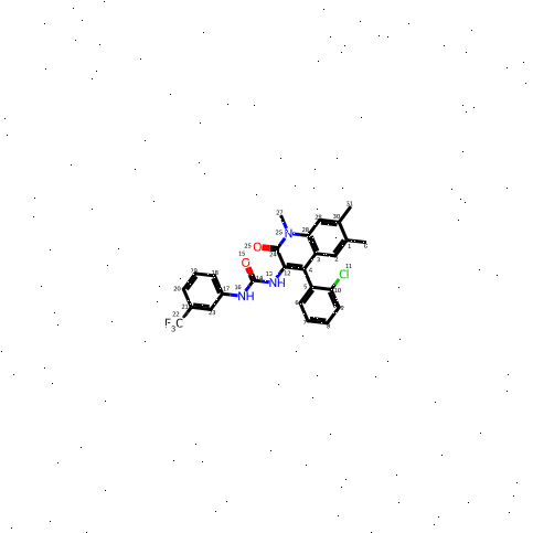 Cc1cc2c(-c3ccccc3Cl)c(NC(=O)Nc3cccc(C(F)(F)F)c3)c(=O)n(C)c2cc1C